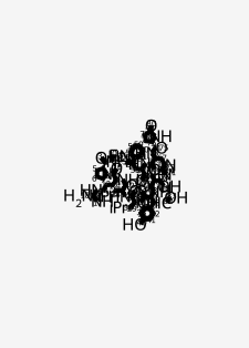 CCNC(=O)[C@@H]1CCCN1C(=O)C(CCCNC(=N)N)NC(=O)C(CC(C)C)NC(=O)C(CC(C)C)NC(=O)C(Cc1ccc(O)cc1)NC(=O)C(CO)NC(=O)C(Cc1c[nH]c2ccccc12)NC(=O)C(Cc1c[nH]cn1)NC(=O)[C@@H]1CCC(=O)N1.O=CO